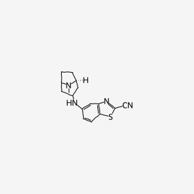 CN1C2CC[C@H]1CC(Nc1ccc3sc(C#N)nc3c1)C2